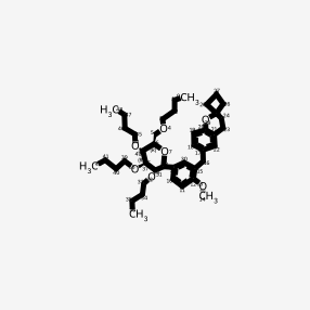 CCCCOC[C@H]1OC(c2ccc(OC)c(Cc3ccc4c(c3)CCC3(CCC3)O4)c2)[C@H](OCCCC)[C@@H](OCCCC)[C@@H]1OCCCC